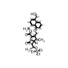 CC[Si](CC)(CC)O[C@H](C)[C@H]1C(=O)N2C(C(=O)OP)=C(COc3cccc4c(CO)cccc34)[C@H](C)[C@H]12